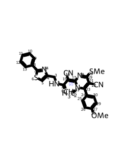 C=C(NCc1csc(-c2ccccc2)n1)/C(C#N)=C1/N=C(SC)C(C#N)=C(c2ccc(OC)cc2)N1C